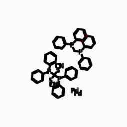 N#CSC(SC#N)(P(c1ccccc1)c1ccccc1)P(c1ccccc1)c1ccccc1.[Pd].[Pd].c1ccc(P(CP(c2ccccc2)c2ccccc2)c2ccccc2)cc1